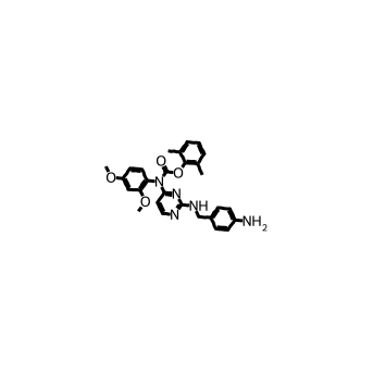 COc1ccc(N(C(=O)Oc2c(C)cccc2C)c2ccnc(NCc3ccc(N)cc3)n2)c(OC)c1